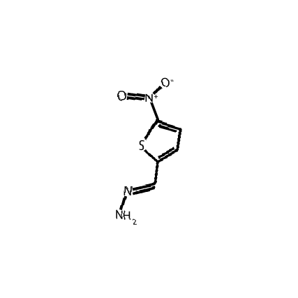 NN=Cc1ccc([N+](=O)[O-])s1